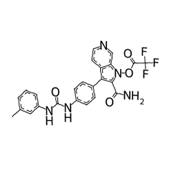 Cc1cccc(NC(=O)Nc2ccc(-c3c(C(N)=O)n(OC(=O)C(F)(F)F)c4cnccc34)cc2)c1